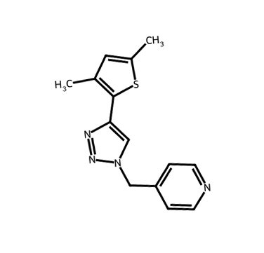 Cc1cc(C)c(-c2cn(Cc3ccncc3)nn2)s1